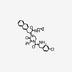 CC(C)[C@H]1C(=O)N([C@@H](Cc2ccc3ccccc3c2)C(=O)NCC2CC2)CCN1C(=O)[C@H](N)Cc1ccc(Cl)cc1